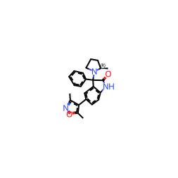 Cc1noc(C)c1-c1ccc2c(c1)C(c1ccccc1)(N1CCC[C@H]1C)C(=O)N2